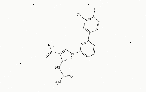 NC(=O)Nc1cn(-c2cccc(-c3ccc(F)c(Cl)c3)c2)nc1C(N)=O